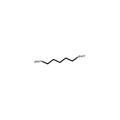 [CH2]CCC[CH]CCCCCCCCC[CH2]